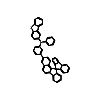 c1ccc(N(c2cccc(-c3ccc4c5c(ccc4c3)-c3ccccc3C53c4ccccc4-c4ccccc43)c2)c2ccc3sc4ccccc4c3c2)cc1